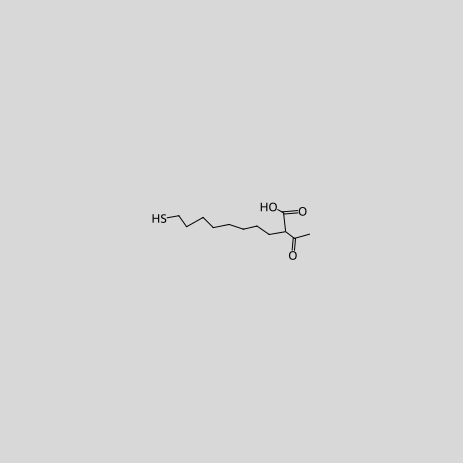 CC(=O)C(CCCCCCCCS)C(=O)O